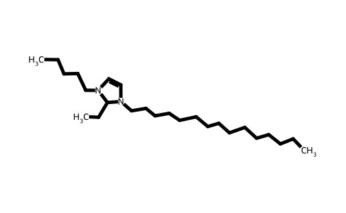 CCCCCCCCCCCCCCCN1C=CN(CCCCC)C1CC